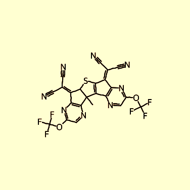 CC12C3=C(SC1C(=C(C#N)C#N)c1nc(OC(F)(F)F)cnc12)C(=C(C#N)C#N)c1nc(OC(F)(F)F)cnc13